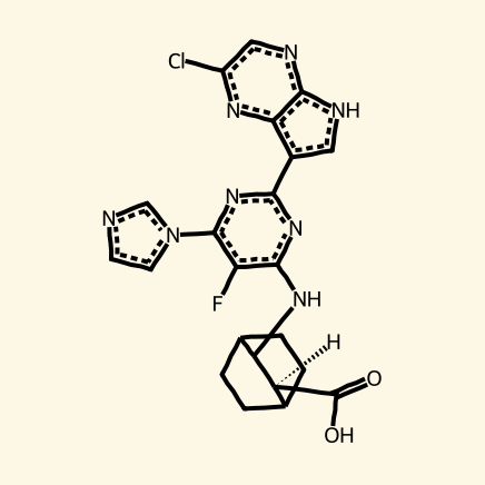 O=C(O)[C@H]1C2CCC(CC2)C1Nc1nc(-c2c[nH]c3ncc(Cl)nc23)nc(-n2ccnc2)c1F